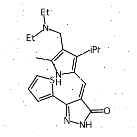 CCN(CC)Cc1c(C)[nH]c(/C=C2/C(=O)NN=C2c2cccs2)c1C(C)C